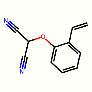 C=Cc1ccccc1OC(C#N)C#N